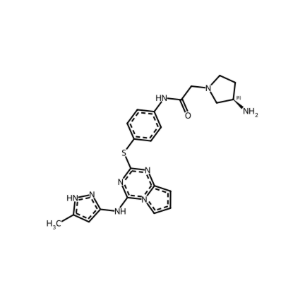 Cc1cc(Nc2nc(Sc3ccc(NC(=O)CN4CC[C@@H](N)C4)cc3)nc3cccn23)n[nH]1